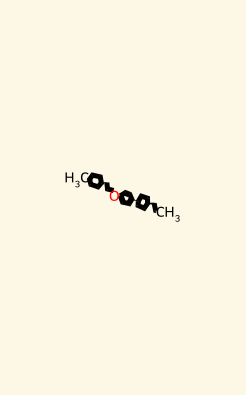 CCC[C@H]1CC[C@H](c2ccc(OCCC[C@H]3CC[C@H](C)CC3)cc2)CC1